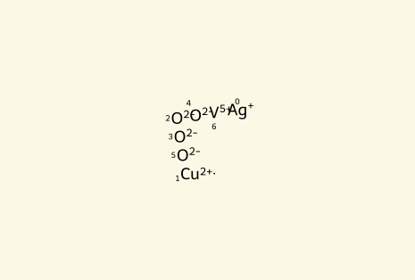 [Ag+].[Cu+2].[O-2].[O-2].[O-2].[O-2].[V+5]